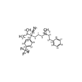 CC(C)C(C#N)(CCCN(C)CCc1ccccc1)c1ccc(C(F)(F)F)cc1